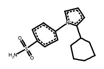 NS(=O)(=O)c1ccc(-n2cccc2C2CCCCC2)cc1